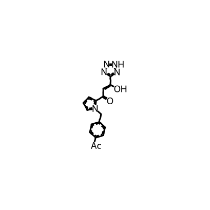 CC(=O)c1ccc(Cn2cccc2C(=O)C=C(O)c2nn[nH]n2)cc1